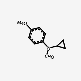 COc1c[c]c(N(C=O)C2CC2)cc1